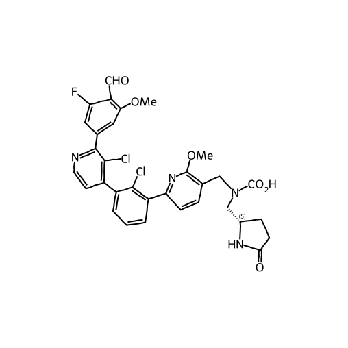 COc1cc(-c2nccc(-c3cccc(-c4ccc(CN(C[C@@H]5CCC(=O)N5)C(=O)O)c(OC)n4)c3Cl)c2Cl)cc(F)c1C=O